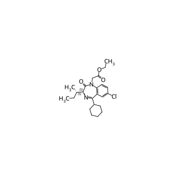 CCOC(=O)CN1C(=O)[C@H]([C@@H](C)CC)N=C(C2CCCCC2)c2cc(Cl)ccc21